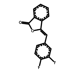 O=C1OC(=Cc2ccc(F)c(F)c2)c2ccccc21